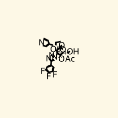 CC(=O)O[C@@H]1[C@H](n2cc(-c3cc(F)c(F)c(F)c3)nn2)[C@@H](OCc2ccncc2)[C@]2(CCCO2)O[C@@H]1CO